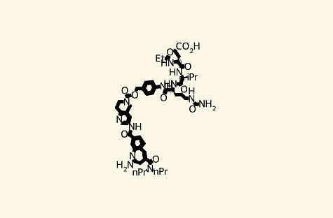 CCCN(CCC)C(=O)C1=Cc2ccc(C(=O)Nc3cnc4c(c3)CN(C(=O)OCc3ccc(NC(=O)[C@H](CCCNC(N)=O)NC(=O)[C@@H](NC(=O)[C@H](CCC(=O)O)NC(=O)CC)C(C)C)cc3)CC4)cc2N=C(N)C1